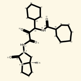 O=C(NN1C[C@H]2CCCN2C1=O)C(=O)C(NC(=O)C1CCCCCC1)C1CCCCC1